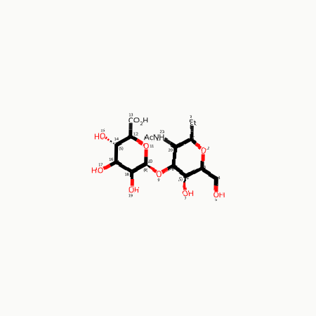 CCC1OC(CO)[C@@H](O)C(O[C@@H]2OC(C(=O)O)[C@@H](O)C(O)C2O)C1NC(C)=O